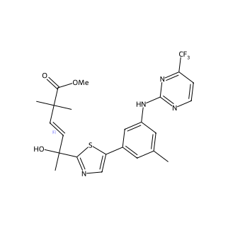 COC(=O)C(C)(C)/C=C/C(C)(O)c1ncc(-c2cc(C)cc(Nc3nccc(C(F)(F)F)n3)c2)s1